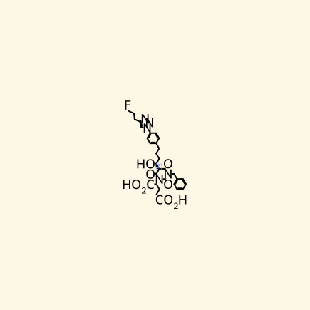 O=C(O)CCC(C(=O)O)N1C(=O)/C(=C(\O)CCCc2ccc(-n3cc(CCCF)nn3)cc2)C(=O)N(Cc2ccccc2)C1=O